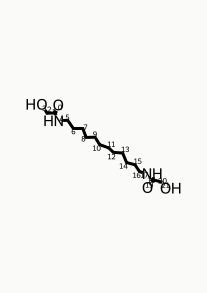 O=C(CO)NCCCCCCCCCCCCNC(=O)CO